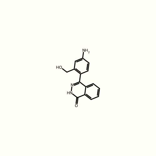 Nc1ccc(-c2n[nH]c(=O)c3ccccc23)c(CO)c1